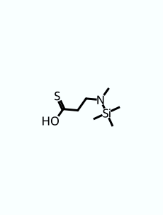 CN(CCC(O)=S)[Si](C)(C)C